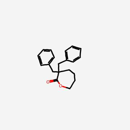 O=C1OCCCCC1(Cc1ccccc1)Cc1ccccc1